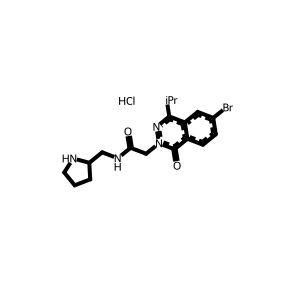 CC(C)c1nn(CC(=O)NCC2CCCN2)c(=O)c2ccc(Br)cc12.Cl